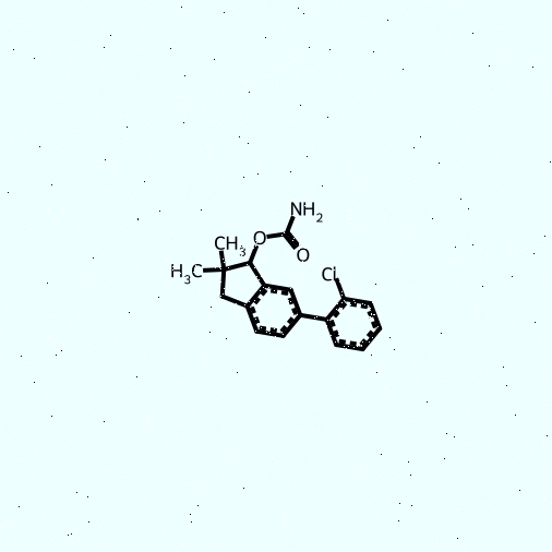 CC1(C)Cc2ccc(-c3ccccc3Cl)cc2C1OC(N)=O